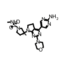 CNS(=O)(=O)N1CC[C@@](C)(N2CCc3c(-c4cnc(N)nc4)nc(N4CCOCC4)nc32)C1